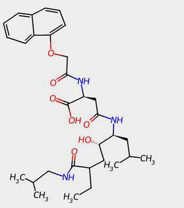 CCC(C[C@H](O)[C@H](CC(C)C)NC(=O)C[C@H](NC(=O)COc1cccc2ccccc12)C(=O)O)C(=O)NCC(C)C